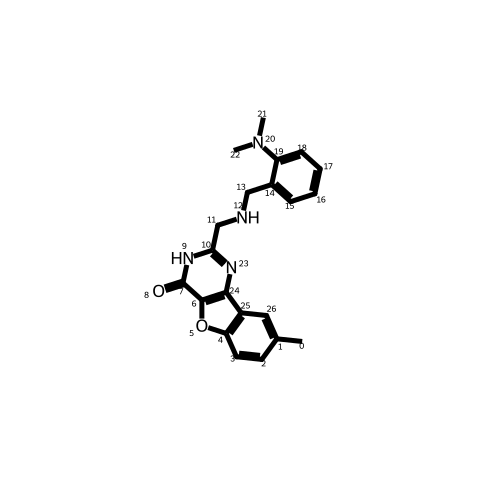 Cc1ccc2oc3c(=O)[nH]c(CNCc4ccccc4N(C)C)nc3c2c1